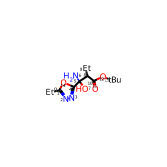 CCc1nnc([C@@](N)(O)C(CC)C(=O)OC(C)(C)C)o1